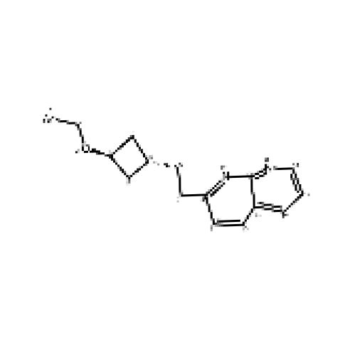 CC(=O)CO[C@H]1C[C@H](CCc2ccc3cccnc3n2)C1